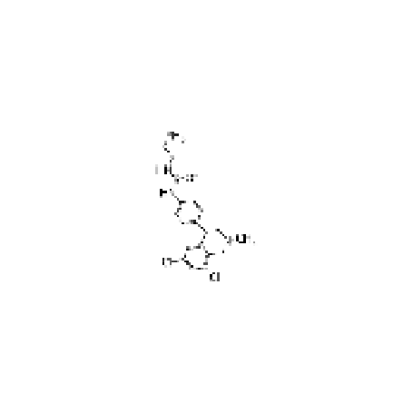 CN1Cc2c(Cl)cc(Cl)cc2C(c2ccc(N[S+]([O-])NCCP)cc2)C1